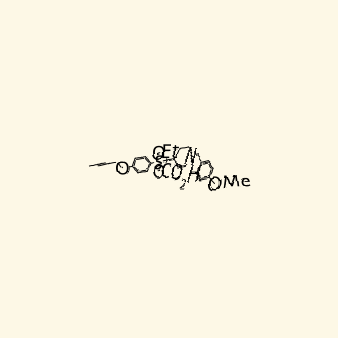 CC#CCOc1ccc(S(=O)(=O)C(CC)(C(=O)O)C2CCN(Cc3ccc(OC)cc3)CC2)cc1